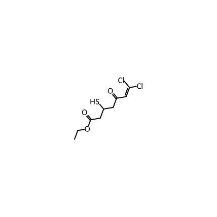 CCOC(=O)CC(S)CC(=O)C=C(Cl)Cl